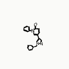 O=c1ccc(-c2cnn(Cc3ccccc3)c2)cn1-c1ccccc1